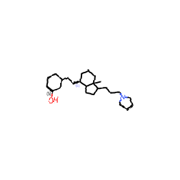 CC12CCC/C(=C\CC3CCC[C@H](O)C3)C1CCC2CCCN1CCCC1